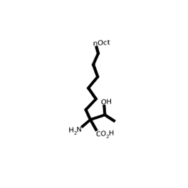 CCCCCCCCCCCCCCC(N)(C(=O)O)C(C)O